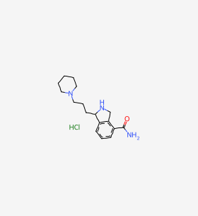 Cl.NC(=O)c1cccc2c1CNC2CCCN1CCCCC1